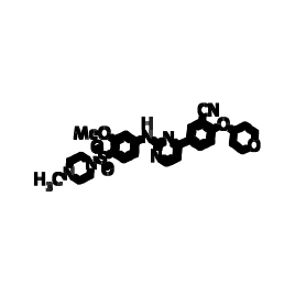 COc1cc(Nc2nccc(-c3ccc(OC4CCOCC4)c(C#N)c3)n2)ccc1S(=O)(=O)N1CCN(C)CC1